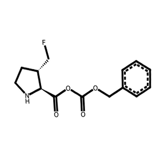 O=C(OCc1ccccc1)OC(=O)[C@H]1NCC[C@@H]1CF